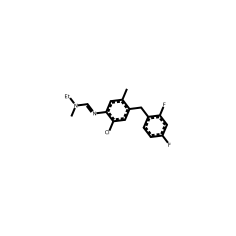 CCN(C)C=Nc1cc(C)c(Cc2ccc(F)cc2F)cc1Cl